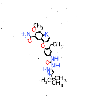 CCc1cc(NC(=O)Nc2cc(C(C)(C)C)n[nH]2)ccc1Oc1ccnc2cc(OC)c(C(N)=O)cc12